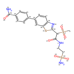 CS(=O)(=O)C(C(=O)NCCS(N)(=O)=O)c1nc2ccc(-c3ccc(C(N)=O)cc3)cc2s1